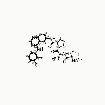 CN[C@@H](C)C(=O)N[C@H](C(=O)N1CCC[C@H]1C(=O)Nc1ccc2ncnc(Nc3cccc(Cl)c3F)c2c1)C(C)(C)C